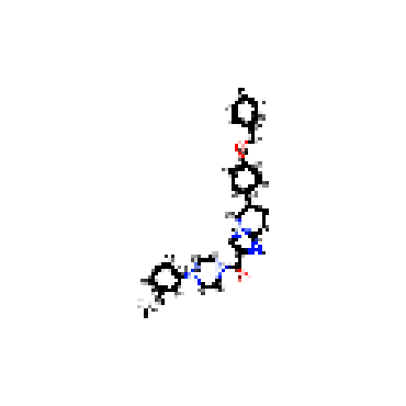 O=C(c1cn2c(n1)CCC(c1ccc(OCc3ccccc3)cc1)C2)N1CCN(c2cccc(C(F)(F)F)c2)CC1